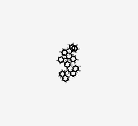 c1ccc(C2(c3ccc(N(c4cccc5ccccc45)c4cccc5ccccc45)cc3)c3ccccc3C3(c4ccccc4)c4ccccc4-c4cccc2c43)cc1